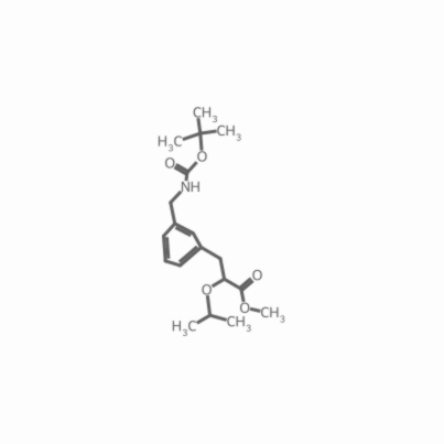 COC(=O)C(Cc1cccc(CNC(=O)OC(C)(C)C)c1)OC(C)C